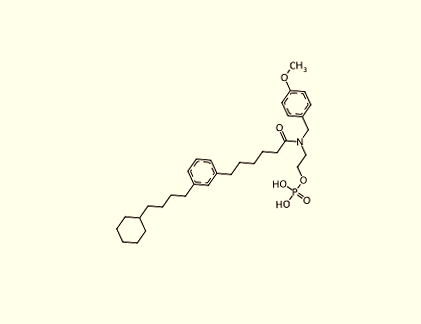 COc1ccc(CN(CCOP(=O)(O)O)C(=O)CCCCCc2cccc(CCCCC3CCCCC3)c2)cc1